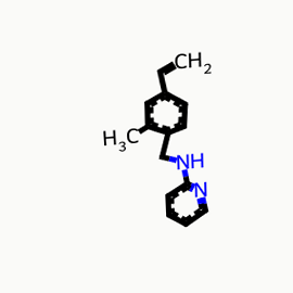 C=Cc1ccc(CNc2ccccn2)c(C)c1